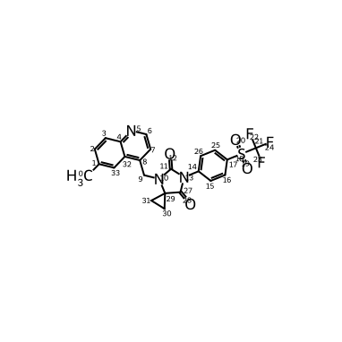 Cc1ccc2nccc(CN3C(=O)N(c4ccc(S(=O)(=O)C(F)(F)F)cc4)C(=O)C34CC4)c2c1